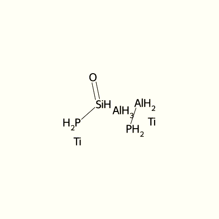 O=[SiH]P.[AlH2][PH2].[AlH3].[Ti].[Ti]